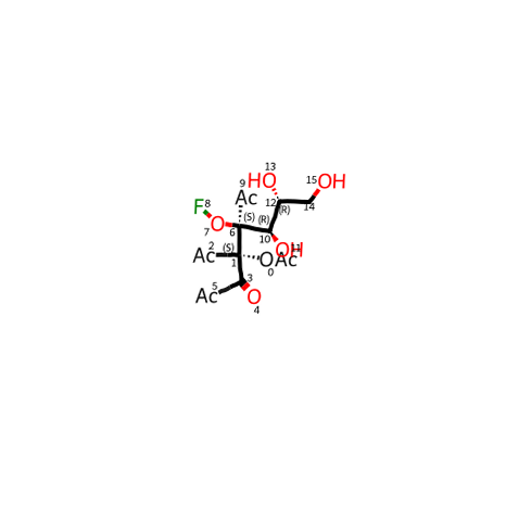 CC(=O)O[C@@](C(C)=O)(C(=O)C(C)=O)[C@](OF)(C(C)=O)[C@H](O)[C@H](O)CO